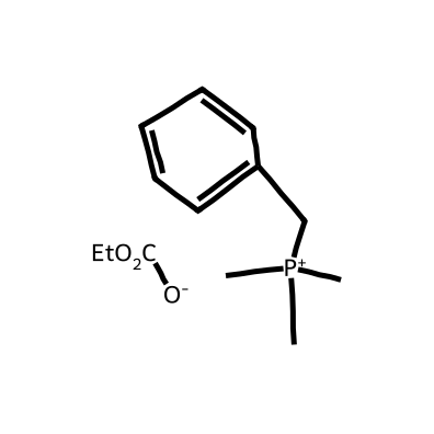 CCOC(=O)[O-].C[P+](C)(C)Cc1ccccc1